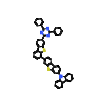 c1ccc(-c2nc(-c3ccccc3)nc(-c3ccc4c(c3)sc3c(-c5ccc6c(c5)sc5cc(-n7c8ccccc8c8ccccc87)ccc56)cccc34)n2)cc1